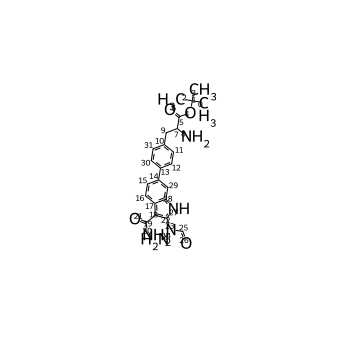 CC(C)(C)OC(=O)C(N)Cc1ccc(-c2ccc3c(C(N)=O)c(N(N)C=O)[nH]c3c2)cc1